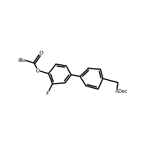 CCCCCCCCCCCc1ccc(-c2ccc(OC(=O)C(C)CC)c(F)c2)cc1